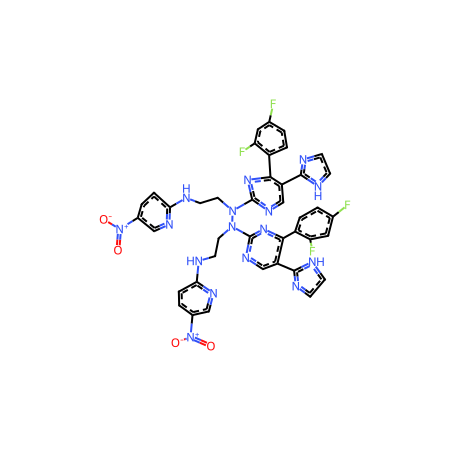 O=[N+]([O-])c1ccc(NCCN(c2ncc(-c3ncc[nH]3)c(-c3ccc(F)cc3F)n2)N(CCNc2ccc([N+](=O)[O-])cn2)c2ncc(-c3ncc[nH]3)c(-c3ccc(F)cc3F)n2)nc1